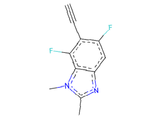 C#Cc1c(F)cc2nc(C)n(C)c2c1F